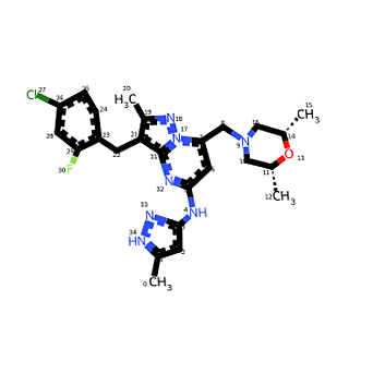 Cc1cc(Nc2cc(CN3C[C@@H](C)O[C@@H](C)C3)n3nc(C)c(Cc4ccc(Cl)cc4F)c3n2)n[nH]1